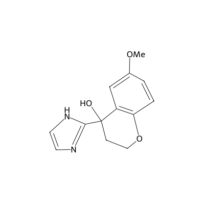 COc1ccc2c(c1)C(O)(c1ncc[nH]1)CCO2